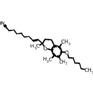 CCCCCCOc1c(C)c(C)c2c(c1C)CCC(C)(/C=C/CCCCCCC#N)O2